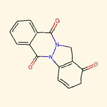 O=C1CC=CC2=C1Cn1c(=O)c3ccccc3c(=O)n12